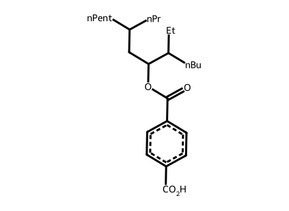 CCCCCC(CCC)CC(OC(=O)c1ccc(C(=O)O)cc1)C(CC)CCCC